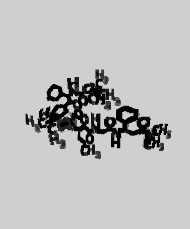 CCC[C@@H](NC(=O)[C@H]1C(C(=O)[C@@H](NC(=O)OC(C)(C)C)C2CCCCC2)C[C@H]2[C@@H]1C2(C)C)C(=O)C(=O)NCC(=O)N[C@H](CC(=O)N(C)C)c1ccccc1